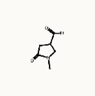 CCC(=O)C1CC(=O)N(C)C1